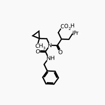 CC(C)CC(CC(=O)O)C(=O)N(CC1(C)CC1)C(=O)NCc1ccccc1